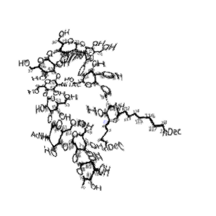 CCCCCCCCCCCCC/C=C/[C@@H](O)[C@H](CO[C@@H]1OC(CO)[C@@H](O[C@@H]2OC(CO)[C@H](O)[C@H](O[C@@H]3OC(CO)[C@@H](O[C@@H]4OC(CO)[C@H](O)[C@H](O[C@@H]5OC(CO)[C@@H](O[C@@H]6OC(CO)[C@H](O)[C@H](O[C@@H]7OC(CO)[C@@H](O[C@@H]8OC(CO)[C@H](O)[C@H](O)C8O[C@H]8OC(C)[C@@H](O)C(O)[C@@H]8O)[C@H](O)C7NC(C)=O)C6O)[C@H](O)C5NC(C)=O)C4O)[C@H](O)C3NC(C)=O)C2O)[C@H](O)C1O)NC(=O)CCCCCCCCCCCCCCCCC